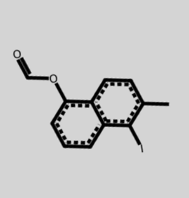 Cc1ccc2c(OC=O)cccc2c1I